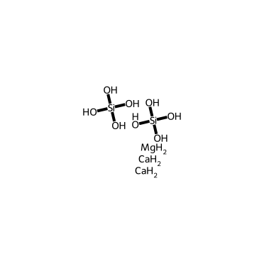 O[Si](O)(O)O.O[Si](O)(O)O.[CaH2].[CaH2].[MgH2]